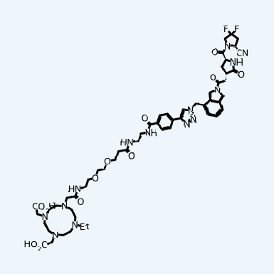 CCN1CCN(CC(=O)O)CCN(CC(=O)O)CCN(CC(=O)NCCOCCOCCC(=O)NCCNC(=O)c2ccc(-c3cn(Cc4cccc5c4CN(C(=O)C[C@@H]4C[C@@H](C(=O)N6CC(F)(F)C[C@H]6C#N)NC4=O)C5)nn3)cc2)CC1